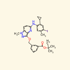 Cc1cc(Nc2ccc3c(n2)c(OCc2cccc(C(=O)OC(C)(C)C)c2)nn3C)c(C2CC2)cc1I